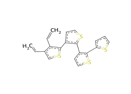 C=Cc1csc(-c2ccsc2-c2ccsc2-c2cccs2)c1C=C